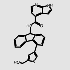 O=C(NC1c2ccccc2-c2c(-c3csc(CO)c3)cccc21)c1ccnc2[nH]ccc12